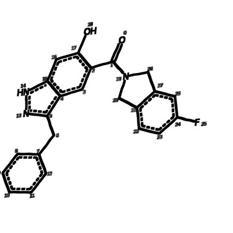 O=C(c1cc2c(Cc3ccccc3)n[nH]c2cc1O)N1Cc2ccc(F)cc2C1